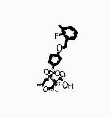 Cc1cccc(COc2ccc(S(=O)(=O)N3C[C@H](C)O[C@@H](C)[C@@H]3C(=O)O)cc2)c1F